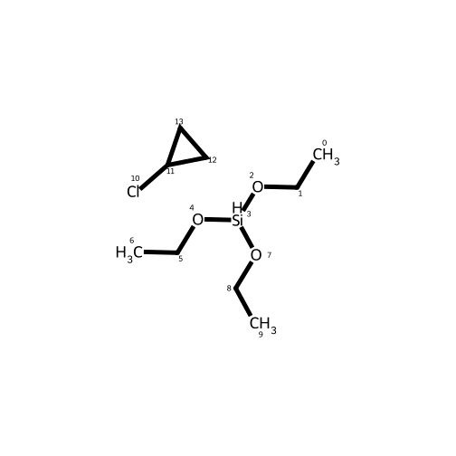 CCO[SiH](OCC)OCC.ClC1CC1